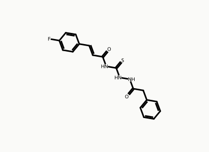 O=C(C=Cc1ccc(F)cc1)NC(=S)NNC(=O)Cc1ccccc1